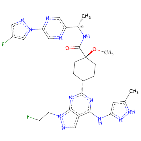 CO[C@]1(C(=O)N[C@@H](C)c2cnc(-n3cc(F)cn3)cn2)CC[C@@H](c2nc(Nc3cc(C)[nH]n3)c3cnn(CCF)c3n2)CC1